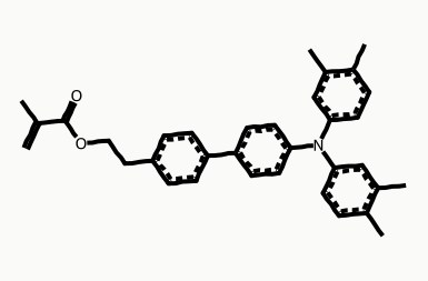 C=C(C)C(=O)OCCc1ccc(-c2ccc(N(c3ccc(C)c(C)c3)c3ccc(C)c(C)c3)cc2)cc1